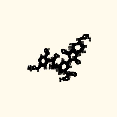 CCc1ccc(C=O)c(C(=O)Nc2cc(C(=O)O)cc(N3C(=O)c4ccc(CC)cc4C3=O)c2)c1